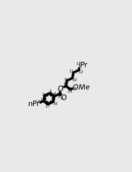 CCCc1ccc(C(=O)OC(CCCCC(C)C)COC)cc1